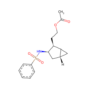 CC(=O)OCC[C@H]1C2C[C@@H]2C[C@H]1NS(=O)(=O)c1ccccc1